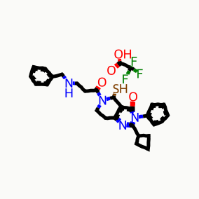 O=C(CCNCc1ccccc1)N1CCc2nc(C3CCC3)n(-c3ccccc3)c(=O)c2C1S.O=C(O)C(F)(F)F